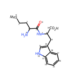 CSCCC(N)C(=O)NC(Cc1c[nH]c2ccccc12)C(=O)O